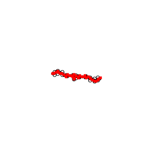 C=CC(=O)OCC(C)OC(=O)CCC(=O)OCCc1ccc(C#Cc2ccc(COc3ccc(C#Cc4ccc(CCOC(=O)CCC(=O)OC(C)COC(=O)C=C)cc4)cc3C(=O)OC)cc2)cc1